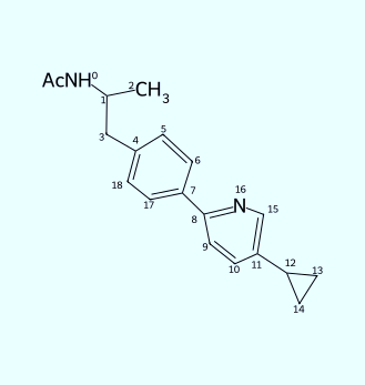 CC(=O)NC(C)Cc1ccc(-c2ccc(C3CC3)cn2)cc1